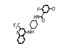 O=C(N[C@H]1CC[C@@H](Nc2cc(C(F)(F)F)nc3ccccc23)CC1)c1cc(Cl)ccc1F